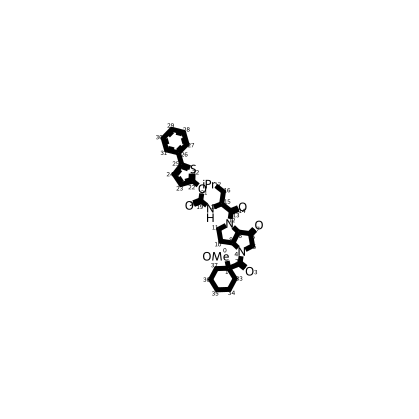 COC1(C(=O)N2CC(=O)C3C2CCN3C(=O)C(CC(C)C)NC(=O)Oc2ccc(-c3ccccc3)s2)CCCCC1